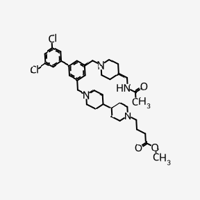 COC(=O)CCCN1CCC(C2CCN(Cc3cc(CN4CCC(CNC(C)=O)CC4)cc(-c4cc(Cl)cc(Cl)c4)c3)CC2)CC1